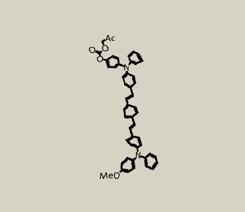 COc1ccc(N(c2ccccc2)c2ccc(C=Cc3ccc(C=Cc4ccc(N(c5ccccc5)c5ccc(OC(=O)OCC(C)=O)cc5)cc4)cc3)cc2)cc1